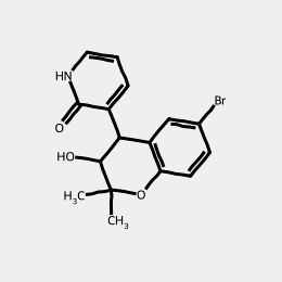 CC1(C)Oc2ccc(Br)cc2C(c2ccc[nH]c2=O)C1O